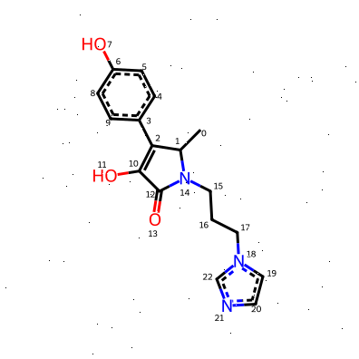 CC1C(c2ccc(O)cc2)=C(O)C(=O)N1CCCn1ccnc1